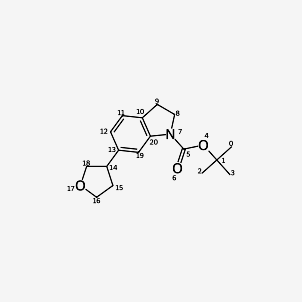 CC(C)(C)OC(=O)N1CCc2ccc(C3CCOC3)cc21